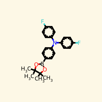 CC1(C)OB(c2ccc(N(c3ccc(F)cc3)c3ccc(F)cc3)cc2)OC1(C)C